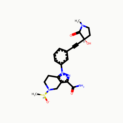 CN1CC[C@@](O)(C#Cc2cccc(-n3nc(C(N)=O)c4c3CCN([S@+](C)[O-])C4)c2)C1=O